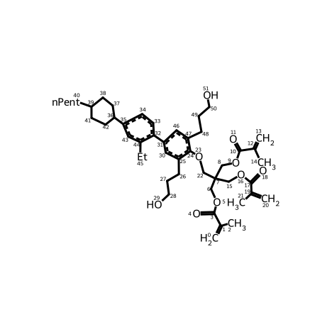 C=C(C)C(=O)OCC(COC(=O)C(=C)C)(COC(=O)C(=C)C)COc1c(CCCO)cc(-c2ccc(C3CCC(CCCCC)CC3)cc2CC)cc1CCCO